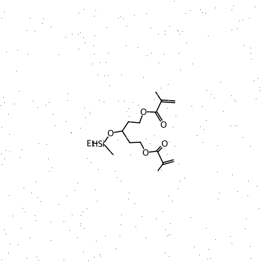 C=C(C)C(=O)OCCC(CCOC(=O)C(=C)C)O[SiH](C)CC